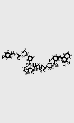 C[C@H]1CN(C(=O)[C@H](NC(=O)c2cccc([C@@H]3CCCN(C(=O)CNCc4ccc(F)cc4F)C3)c2)C2CCCCC2)CCN1CC(=O)N1CCN(C(=O)c2cc(Cc3n[nH]c(=O)c4ccccc34)ccc2F)CC1